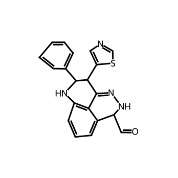 O=CC1NN=C2c3c(cccc31)NC(c1ccccc1)C2c1cncs1